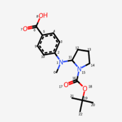 CN(c1ccc(C(=O)O)cc1)C1CCCN1C(=O)OC(C)(C)C